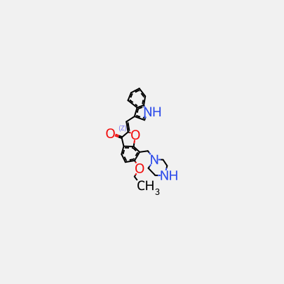 CCOc1ccc2c(c1CN1CCNCC1)O/C(=C\c1c[nH]c3ccccc13)C2=O